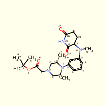 C[C@@H]1CN(CC(=O)OC(C)(C)C)C[C@H](C)N1c1cccc(N(C)C2CCC(=O)NC2=O)c1